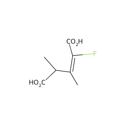 CC(=C(F)C(=O)O)C(C)C(=O)O